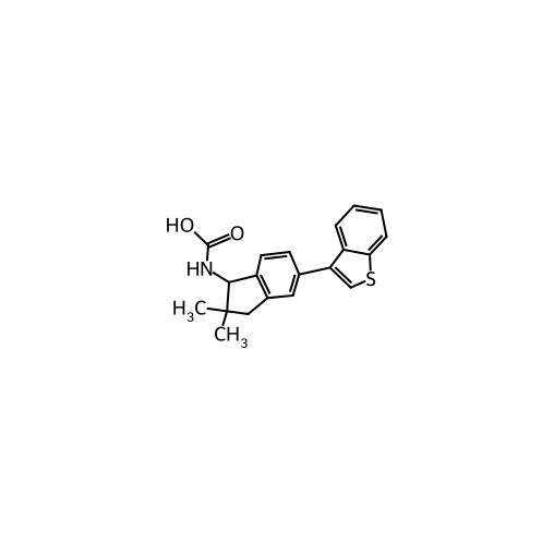 CC1(C)Cc2cc(-c3csc4ccccc34)ccc2C1NC(=O)O